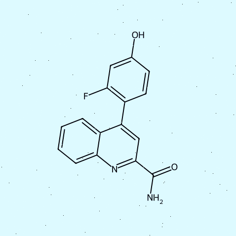 NC(=O)c1cc(-c2ccc(O)cc2F)c2ccccc2n1